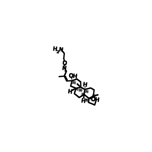 CC(C=NOCCN)=C[C@@]1(O)CC[C@@]2(C)[C@H](CC[C@@H]3[C@@H]2CC[C@]2(C)CCC[C@]32O)C1